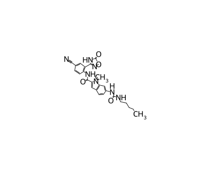 CCCCCNC(=O)Nc1ccc2cc(C(=O)Nc3ccc(C#N)cc3-c3noc(=O)[nH]3)n(C)c2c1